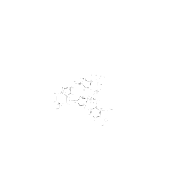 COc1ccc(-n2cc(C)nn2)c(CNC(=O)c2cn(Cc3cc4n(n3)CCN(C)C4)nc2C(F)(F)F)c1F